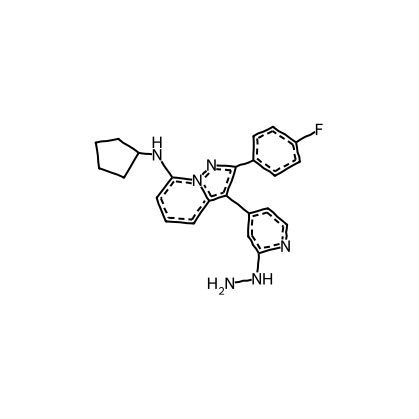 NNc1cc(-c2c(-c3ccc(F)cc3)nn3c(NC4CCCC4)cccc23)ccn1